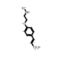 CCNCCOc1ccc(/C=C/C(=O)O)cc1